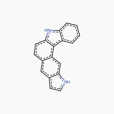 c1ccc2c(c1)[nH]c1ccc3cc4cc[nH]c4cc3c12